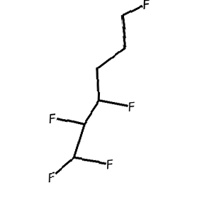 FCCCC(F)C(F)C(F)F